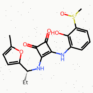 CC[C@@H](Nc1c(Nc2cccc([S+](C)[O-])c2O)c(=O)c1=O)c1ccc(C)o1